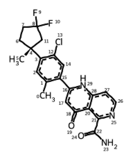 Cc1cc([C@]2(C)CCC(F)(F)C2)c(Cl)cc1-c1cc(=O)c2c(C(N)=O)nccc2[nH]1